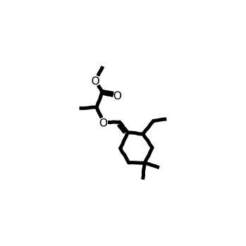 CCC1CC(C)(C)CCC1=COC(C)C(=O)OC